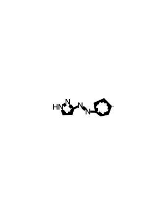 [c]1ccc(N=Nc2cc[nH]n2)cc1